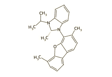 Cc1ccc2c(oc3c(C)cccc32)c1N1c2ccccc2N(C(C)C)[C@H]1C